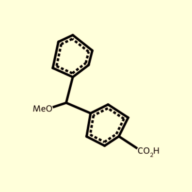 COC(c1ccccc1)c1ccc(C(=O)O)cc1